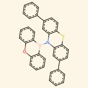 c1ccc(-c2ccc3c(c2)N(B2c4ccccc4Oc4ccccc42)c2cc(-c4ccccc4)ccc2S3)cc1